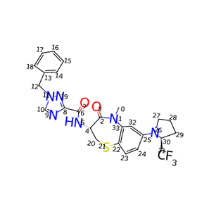 CN1C(=O)[C@@H](NC(=O)c2ncn(Cc3ccccc3)n2)CSc2ccc(N3CCC[C@H]3C(F)(F)F)cc21